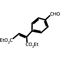 CCOC(=O)/C=C(\C(=O)OCC)c1ccc(C=O)cc1